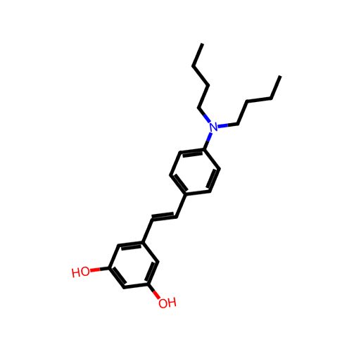 CCCCN(CCCC)c1ccc(C=Cc2cc(O)cc(O)c2)cc1